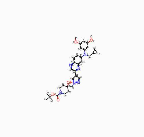 COc1cc(OC)cc(N(CC2CC2)c2ccc3ncc(-c4cnn(CC5(O)CCN(C(=O)OC(C)(C)C)CC5)c4)nc3c2)c1